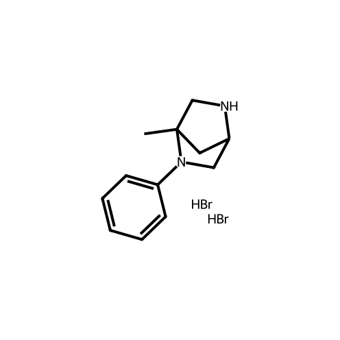 Br.Br.CC12CNC(CN1c1ccccc1)C2